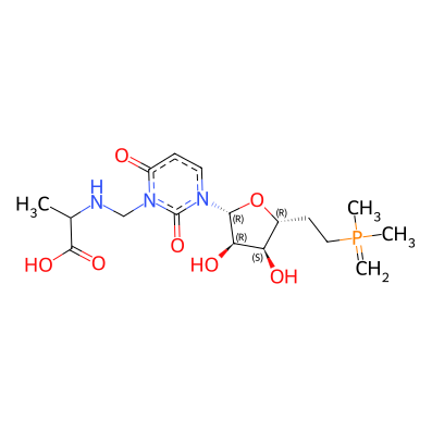 C=P(C)(C)CC[C@H]1O[C@@H](n2ccc(=O)n(CNC(C)C(=O)O)c2=O)[C@H](O)[C@@H]1O